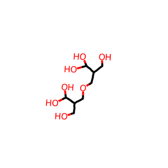 OCC(COCC(CO)C(O)O)C(O)O